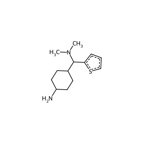 CN(C)C(c1cccs1)C1CCC(N)CC1